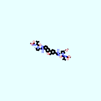 COC[C@H]1C[C@@H](c2ncc(-c3ccc4c(c3)COc3cc5c(ccc6nc([C@@H]7CC[C@H](C)N7C(=O)[C@@H](NC(=O)OC)C(C)C)[nH]c65)cc3-4)[nH]2)N(C(=O)C(NC(=O)OC)C(C)C)C1